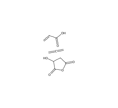 C=C=C.C=CC(=O)O.O=C1CC(O)C(=O)O1